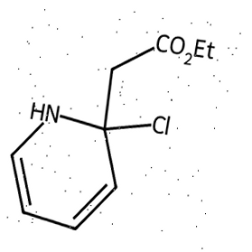 CCOC(=O)CC1(Cl)C=CC=CN1